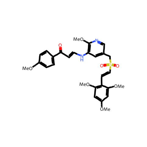 COc1ccc(C(=O)C=CNc2cc(CS(=O)(=O)C=Cc3c(OC)cc(OC)cc3OC)cnc2OC)cc1